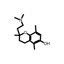 Cc1cc(O)c(C)c2c1OC(C)(CCN(C)C)CC2